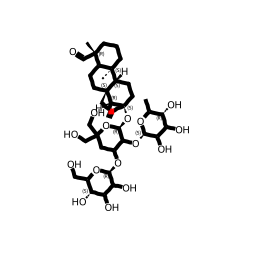 C=C1C[C@@]23CCC4[C@](C)(C=O)CCC[C@@]4(C)[C@@H]2CC[C@]1(O[C@@H]1OC(CO)(CO)CC(O[C@@H]2OC(CO)[C@@H](O)C(O)C2O)C1O[C@@H]1OC(C)[C@H](O)C(O)C1O)[C@@H]3C